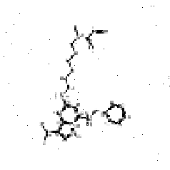 C=CC(=O)N(C)CCCCCCNc1cc(NCc2ccccc2)n2ncc(C(C)C)c2n1